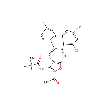 CCC(=O)c1oc2nc(-c3ccc(Br)cc3Cl)c(-c3ccc(Cl)cc3)cc2c1NC(=O)C(C)(C)OC(C)=O